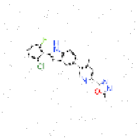 Cc1nnc(-c2cc(C)c(-c3ccc4[nH]c(-c5c(F)cccc5Cl)cc4c3)cn2)o1